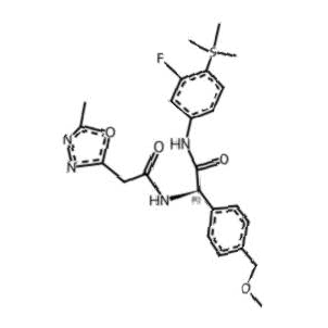 COCc1ccc([C@@H](NC(=O)Cc2nnc(C)o2)C(=O)Nc2ccc(S(C)(C)C)c(F)c2)cc1